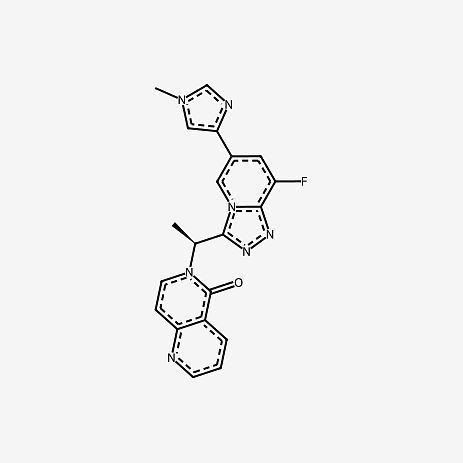 C[C@@H](c1nnc2c(F)cc(-c3cn(C)cn3)cn12)n1ccc2ncccc2c1=O